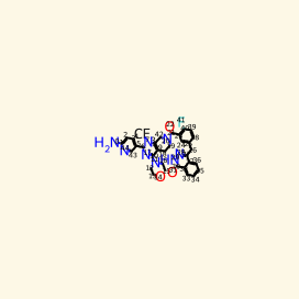 Nc1cc(C(F)(F)F)c(-c2nc3c(c(N4CCOCC4)n2)CCN(C(=O)c2cc(Cc4n[nH]c(=O)c5ccccc45)ccc2F)C3)cn1